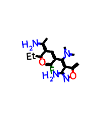 C=C(F)C(=C\C(C(=O)CC)=C(/C)N)/C(=c1\c(N)noc1=C)N(C)C